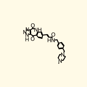 CN1CCN(Cc2ccc(CNC(=O)/C=C/c3ccc4c(=O)c5[nH]nnc5c(=O)[nH]c4c3)cc2)CC1